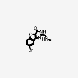 CNCc1nc2c(oc3ccc(Br)cc32)c(=O)[nH]1